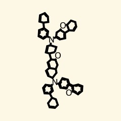 C1=CCC(c2cccc(N(C3=CC=C4C(C3)OC3CCC=CC43)C3C=CC4C(C3)OC3CC5CC(N(c6cccc(C7CC=CCC7)c6)c6ccc7c(c6)oc6ccccc67)C=CC5=CC34)c2)C=C1